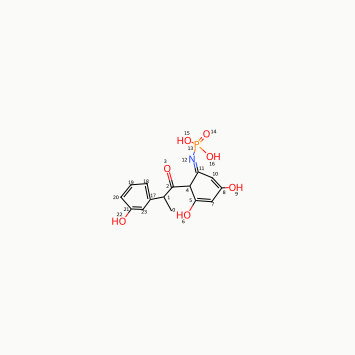 CC(C(=O)C1C(O)=CC(O)=C/C1=N\P(=O)(O)O)c1cccc(O)c1